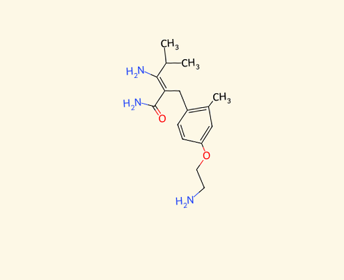 Cc1cc(OCCN)ccc1C/C(C(N)=O)=C(/N)C(C)C